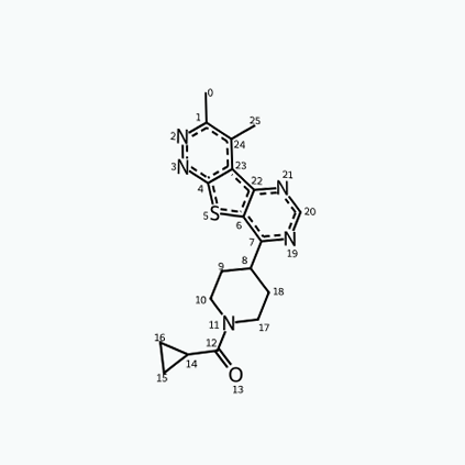 Cc1nnc2sc3c(C4CCN(C(=O)C5CC5)CC4)ncnc3c2c1C